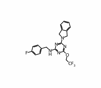 Fc1ccc(CNc2nc(OCC(F)(F)F)nc(N3Cc4ccccc4C3)n2)cc1